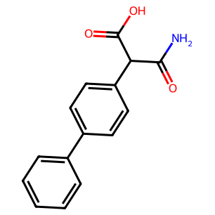 NC(=O)C(C(=O)O)c1ccc(-c2ccccc2)cc1